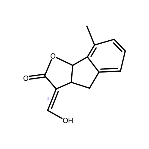 Cc1cccc2c1C1OC(=O)/C(=C/O)C1C2